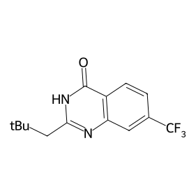 CC(C)(C)Cc1nc2cc(C(F)(F)F)ccc2c(=O)[nH]1